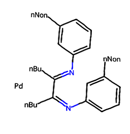 CCCCCCCCCc1cccc(N=C(CCCC)C(CCCC)=Nc2cccc(CCCCCCCCC)c2)c1.[Pd]